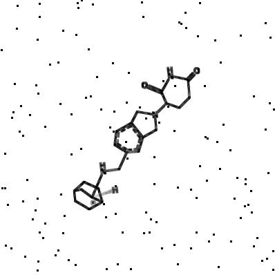 O=C1CCC(N2Cc3ccc(CN[C@@H]4CC5CCC4CC5)cc3C2)C(=O)N1